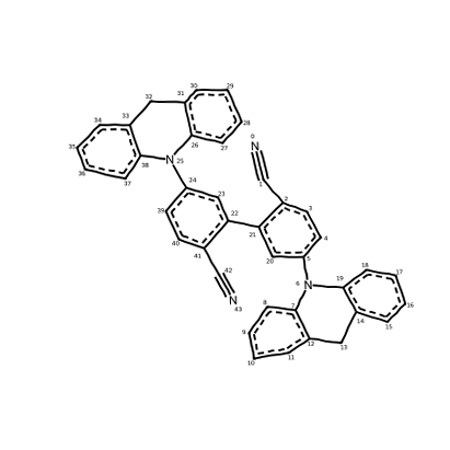 N#Cc1ccc(N2c3ccccc3Cc3ccccc32)cc1-c1cc(N2c3ccccc3Cc3ccccc32)ccc1C#N